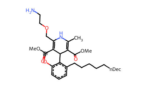 CCCCCCCCCCCCCCCc1cccc(OC(C)C)c1C1C(C(=O)OC)=C(C)NC(COCCN)=C1C(=O)OC